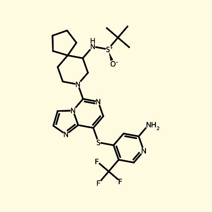 CC(C)(C)[S@@+]([O-])NC1CN(c2ncc(Sc3cc(N)ncc3C(F)(F)F)c3nccn23)CCC12CCCC2